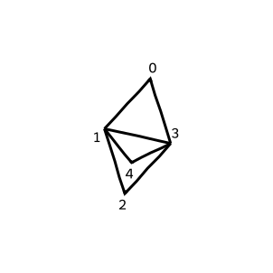 C1C23CC12C3